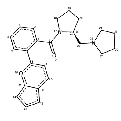 O=C(c1ccccc1-c1ccc2cccc-2o1)N1CCC[C@H]1CN1CCCC1